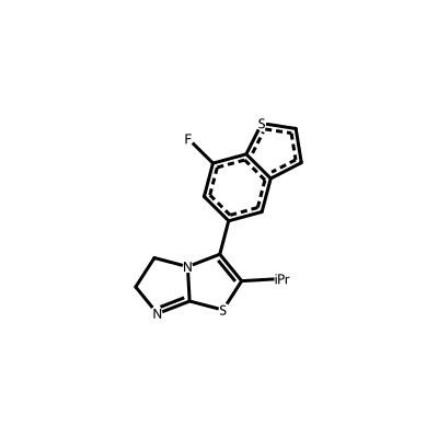 CC(C)C1=C(c2cc(F)c3sccc3c2)N2CCN=C2S1